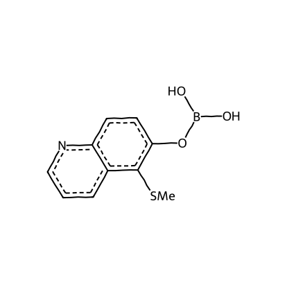 CSc1c(OB(O)O)ccc2ncccc12